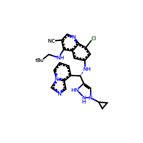 CC(C)(C)CNc1c(C#N)cnc2c(Cl)cc(N[C@H](C3=CN(C4CC4)NN3)c3cccn4cncc34)cc12